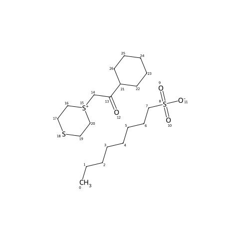 CCCCCCCCS(=O)(=O)[O-].O=C(C[S+]1CCSCC1)C1CCCCC1